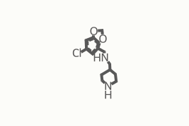 Clc1cc(CNCC2CCNCC2)c2c(c1)OCO2